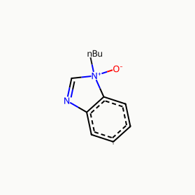 CCCC[N+]1([O-])C=Nc2c[c]ccc21